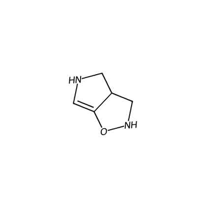 C1=C2ONCC2CN1